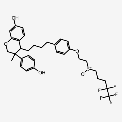 CC1(c2ccc(O)cc2)COc2cc(O)ccc2C1CCCCc1ccc(OCC[S+]([O-])CCCC(F)(F)C(F)(F)F)cc1